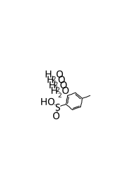 Cc1ccc(S(=O)O)cc1.O.O.O.O